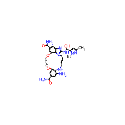 CCn1nc(C)cc1C(O)Nc1nc2cc(C(N)=O)cc3c2n1C/C=C/CNc1c(N)cc(C(N)=O)cc1OCCCO3